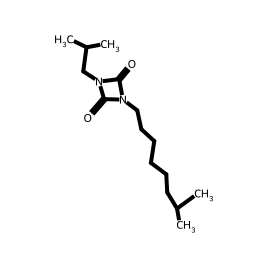 CC(C)CCCCCCN1C(=O)N(CC(C)C)C1=O